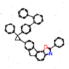 c1ccc(-c2nc3ccc4c(c3o2)-c2ccc(C3CC3(c3ccccc3)c3ccc(-c5ccccc5-c5ccccc5)cc3)cc2C4)cc1